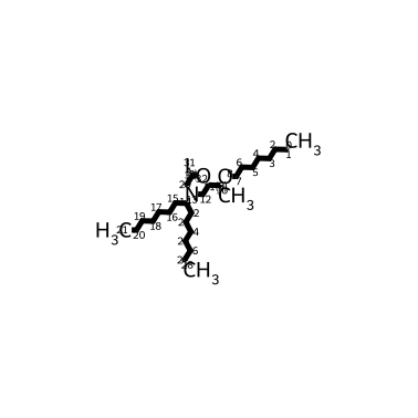 CCCCCCCCO[C@@H](C)C1CN(C(CCCCCCC)CCCCCCC)C[C@H](I)O1